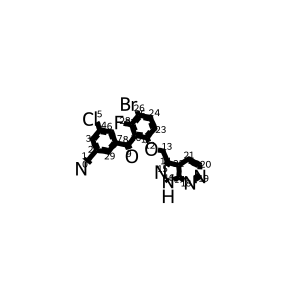 N#Cc1cc(Cl)cc(C(=O)c2c(OCC3=NNC4N=NC=CC34)ccc(Br)c2F)c1